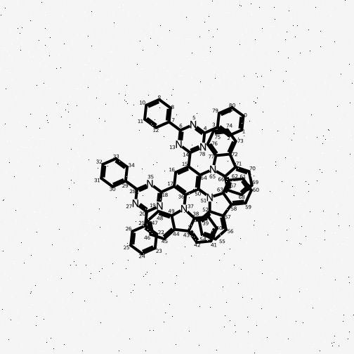 c1ccc(-c2nc(-c3ccccc3)nc(-c3cc(-c4nc(-c5ccccc5)nc(-c5ccccc5)n4)c(-n4c5ccccc5c5ccccc54)c(-n4c5ccccc5c5ccccc54)c3-n3c4ccccc4c4ccccc43)n2)cc1